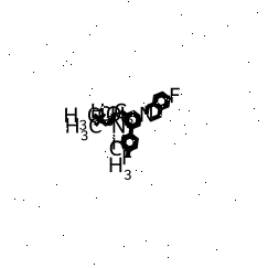 Cc1cc(-c2cc(N3CCc4cc(F)ccc4C3)cc(C)c2NC(=O)CC(C)(C)C)ccc1F